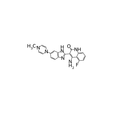 CN1C=CN(c2ccc3nc(-c4c(N)c5c(F)cccc5[nH]c4=O)[nH]c3c2)C=C1